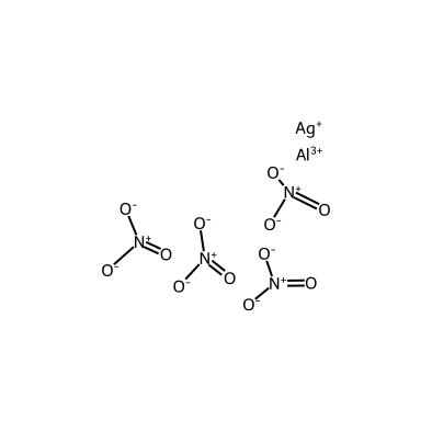 O=[N+]([O-])[O-].O=[N+]([O-])[O-].O=[N+]([O-])[O-].O=[N+]([O-])[O-].[Ag+].[Al+3]